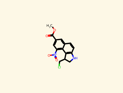 COC(=O)c1cc([N+](=O)[O-])c2c3c(ccc2c1)NCC3CCl